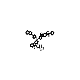 CC1(C)c2ccccc2-c2cc(N(c3ccc(-c4ccc5ccccc5c4)cc3)c3ccc4c(c3)oc3cc5oc(-c6ccccc6)nc5cc34)ccc21